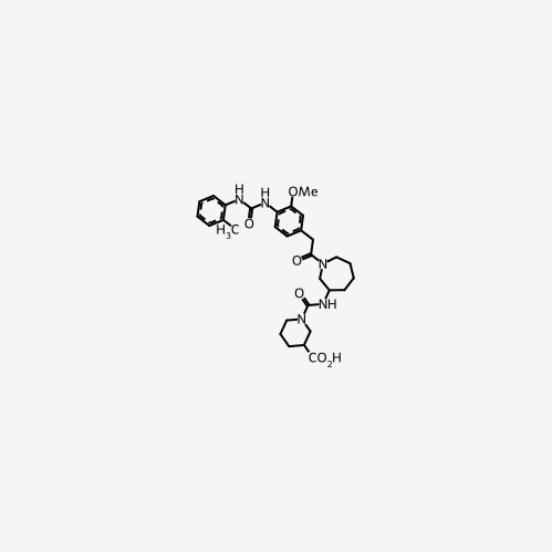 COc1cc(CC(=O)N2CCCCC(NC(=O)N3CCCC(C(=O)O)C3)C2)ccc1NC(=O)Nc1ccccc1C